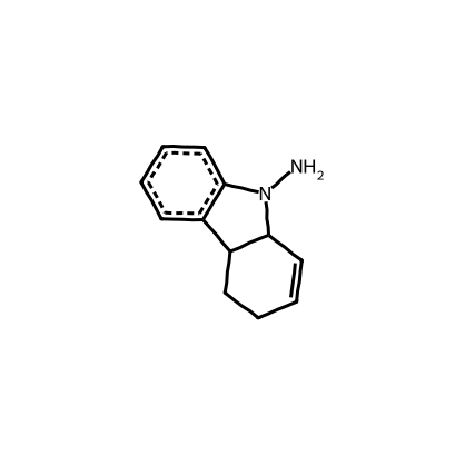 NN1c2ccccc2C2CCC=CC21